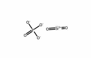 O=P([O-])([O-])[O-].O=[Si+3]=O